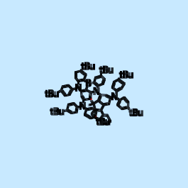 CC(C)(C)c1ccc(N(c2ccc(C(C)(C)C)cc2)c2cc3c4c(c2)N(c2cc(N(c5ccc(C(C)(C)C)cc5)c5ccc(C(C)(C)C)cc5)cc5c2C(C)(C)c2ccc6ccccc6c2-5)c2ccc(C(C)(C)C)cc2B4c2cc(C(C)(C)C)ccc2N3c2ccc(C(C)(C)C)cc2)cc1